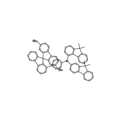 CC(C)(C)c1ccc2c(c1)C1(c3cc(C(C)(C)C)ccc3-2)c2ccccc2-c2cccc(-c3ccc(N(c4ccc5c(c4)C(C)(C)c4ccccc4-5)c4cccc5c4-c4ccccc4C5(C)C)cc3)c21